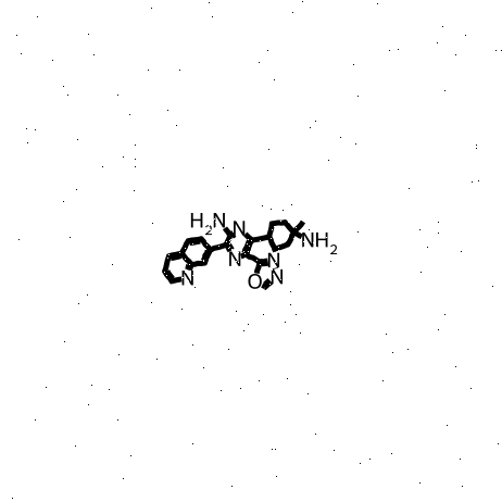 CC1(N)CCC(c2nc(N)c(-c3ccc4cccnc4c3)nc2-c2nnco2)CC1